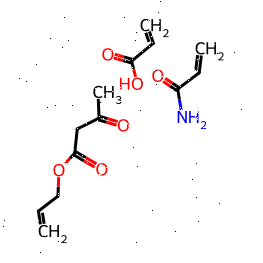 C=CC(=O)O.C=CC(N)=O.C=CCOC(=O)CC(C)=O